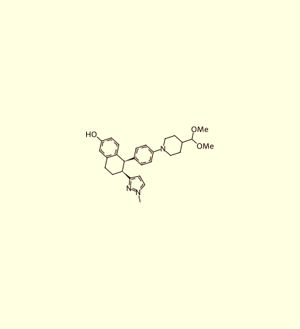 COC(OC)C1CCN(c2ccc([C@@H]3c4ccc(O)cc4CC[C@@H]3c3ccn(C)n3)cc2)CC1